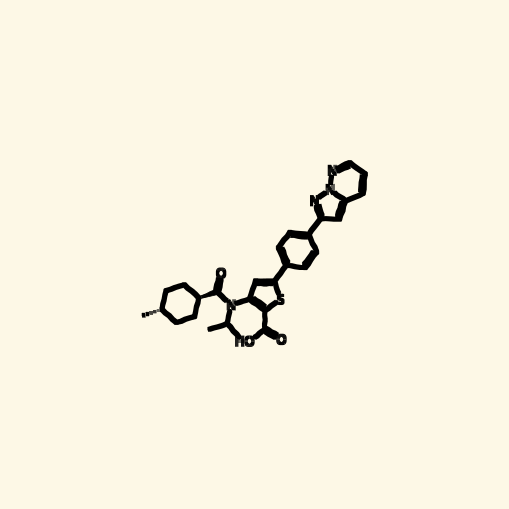 CC(C)N(c1cc(-c2ccc(-c3cc4cccnn4n3)cc2)sc1C(=O)O)C(=O)[C@H]1CC[C@H](C)CC1